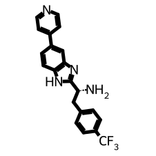 N[C@H](Cc1ccc(C(F)(F)F)cc1)c1nc2cc(-c3ccncc3)ccc2[nH]1